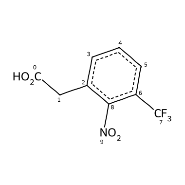 O=C(O)Cc1cccc(C(F)(F)F)c1[N+](=O)[O-]